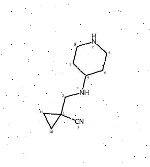 N#CC1(CNC2CCNCC2)CC1